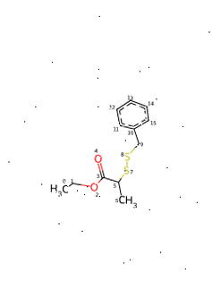 CCOC(=O)C(C)SSCc1ccccc1